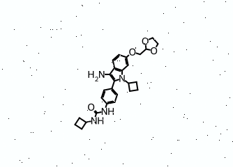 Nc1c(-c2ccc(NC(=O)NC3CCC3)cc2)n(C2CCC2)c2cc(OCC3OCCO3)ccc12